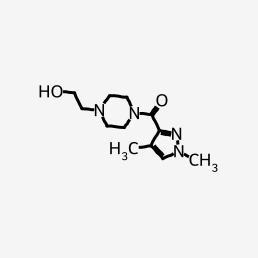 Cc1cn(C)nc1C(=O)N1CCN(CCO)CC1